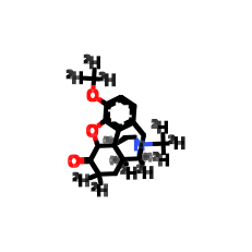 [2H]C([2H])([2H])Oc1ccc2c3c1OC1C(=O)C([2H])([2H])C[C@]4([2H])[C@@]31CCN(C([2H])([2H])[2H])[C@]4([2H])C2